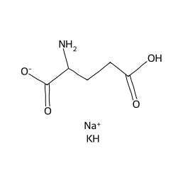 NC(CCC(=O)O)C(=O)[O-].[KH].[Na+]